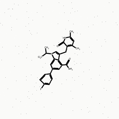 Cc1cc(C)c(Cc2cn(C(C)C)c3cc(-c4ccc(F)cc4)cc(C(N)=O)c23)c(=O)[nH]1